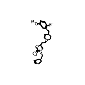 CCOc1ccc(Br)c(CC2CCN(CCC3CN(Cc4ccccc4)C(=O)O3)CC2)c1